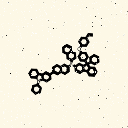 C=CC1CCC(OC2CCC(C3(C4CCCCC4)C4C=CC=CC4C4C=CC(N(C5=CCC6C=C(C7=CC8C9CCCCC9N(C9CCCCC9)C8CC7)CCC6C5)C5CCC6C=CCCC6C5)CC43)CC2)CC1